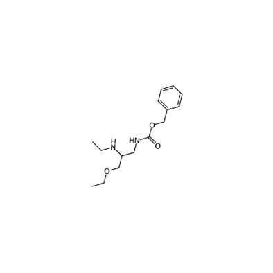 CCNC(CNC(=O)OCc1ccccc1)COCC